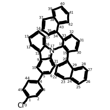 Clc1ccc(-c2ccc3c(c2)c2ccccc2n3-c2c(-c3cccc4ccccc34)cccc2-c2cccc3ccccc23)cc1